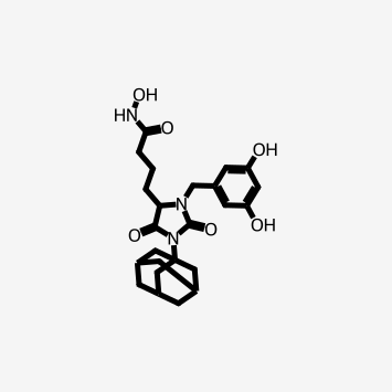 O=C(CCCC1C(=O)N(C23CC4CC(CC(C4)C2)C3)C(=O)N1Cc1cc(O)cc(O)c1)NO